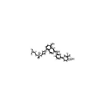 CC(C)c1ccc(N2CC(CS(=O)(=O)CCN(C)C)C2)c2cnc(Nc3ccnc(N4CC[C@@H](O)[C@@](C)(F)C4)n3)cc12